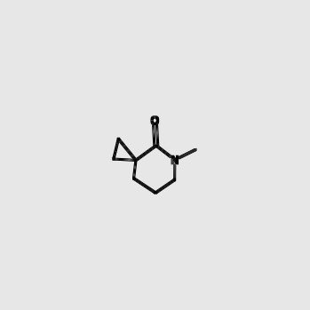 CN1CCCC2(CC2)C1=O